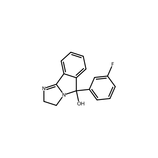 OC1(c2cccc(F)c2)c2ccccc2C2=NCCN21